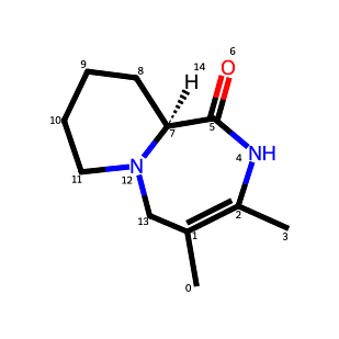 CC1=C(C)NC(=O)[C@@H]2CCCCN2C1